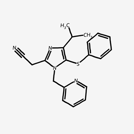 CC(C)c1nc(CC#N)n(Cc2ccccn2)c1Sc1ccccc1